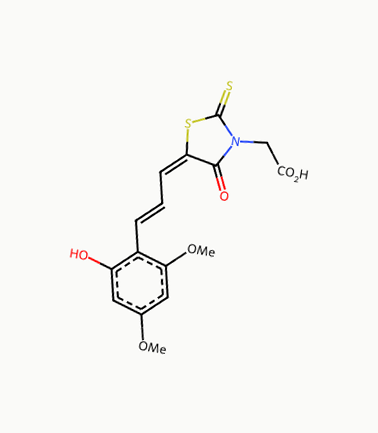 COc1cc(O)c(C=CC=C2SC(=S)N(CC(=O)O)C2=O)c(OC)c1